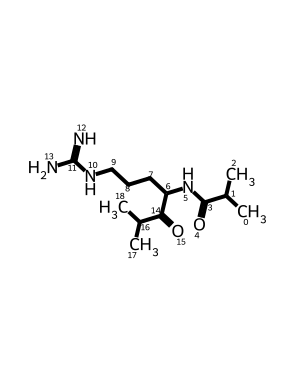 CC(C)C(=O)NC(CCCNC(=N)N)C(=O)C(C)C